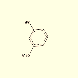 [CH2]CCc1cccc(SC)c1